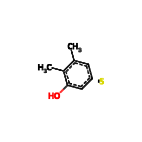 Cc1cccc(O)c1C.[S]